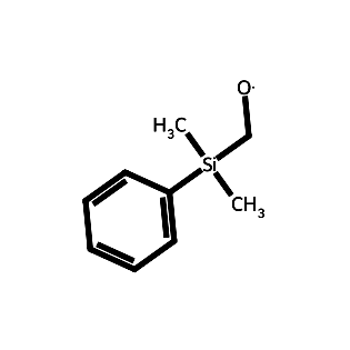 C[Si](C)(C[O])c1ccccc1